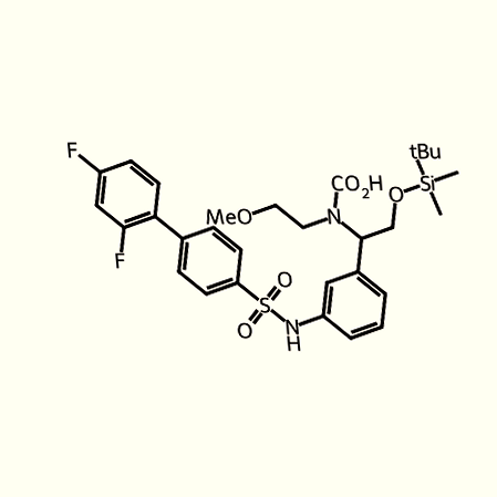 COCCN(C(=O)O)C(CO[Si](C)(C)C(C)(C)C)c1cccc(NS(=O)(=O)c2ccc(-c3ccc(F)cc3F)cc2)c1